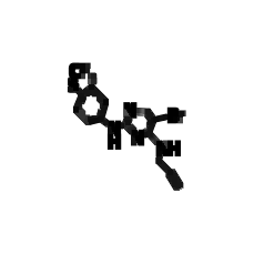 C#CCNc1nc(Nc2ccc(SC(F)(F)F)cc2)ncc1Br